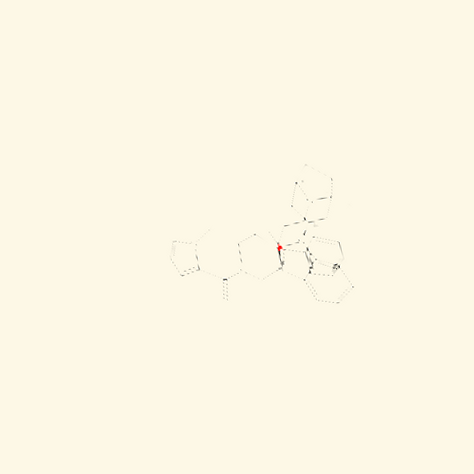 Cc1nc2ccccc2n1[C@H]1C[C@H]2CC[C@@H](C1)N2CCC1(c2ccccc2)CCN(C(=O)c2cccn2C)CC1